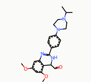 COc1cc2c(c(OC)c1)C(C=O)NC(c1ccc(N3CCN(C(C)C)CC3)cc1)=N2